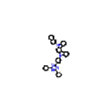 c1ccc(-c2nc(-c3ccccc3)nc(-c3ccc(-n4c5ccccc5c5c6c7ccccc7n(-c7ccc8ccccc8c7)c6ccc54)cc3)n2)cc1